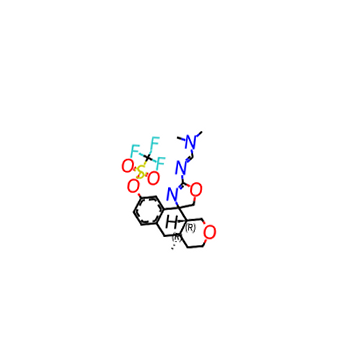 CN(C)C=NC1=NC2(CO1)c1cc(OS(=O)(=O)C(F)(F)F)ccc1C[C@]1(C)CCOC[C@@H]21